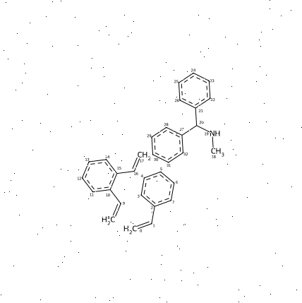 C=Cc1ccccc1.C=Cc1ccccc1C=C.CNC(c1ccccc1)c1ccccc1